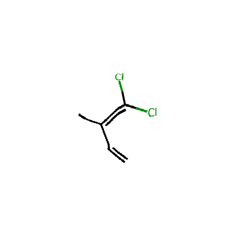 C=CC(C)=C(Cl)Cl